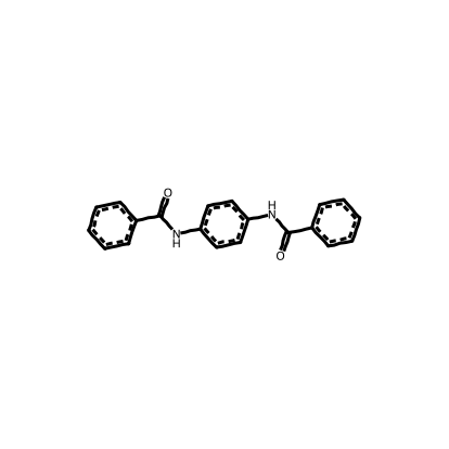 O=C(Nc1ccc(NC(=O)c2ccccc2)cc1)c1ccccc1